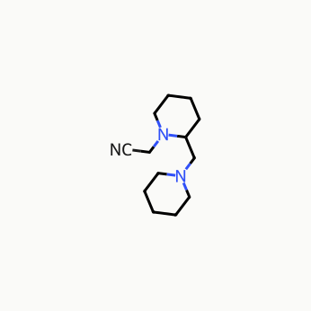 N#CCN1CCCCC1CN1CCCCC1